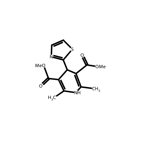 COC(=O)C1=C(C)NC(C)=C(C(=O)OC)C1c1nccs1